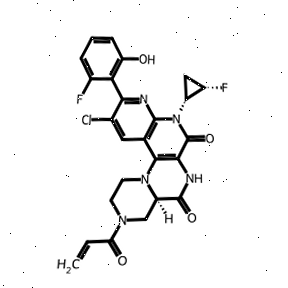 C=CC(=O)N1CCN2c3c(c(=O)n([C@@H]4C[C@@H]4F)c4nc(-c5c(O)cccc5F)c(Cl)cc34)NC(=O)[C@H]2C1